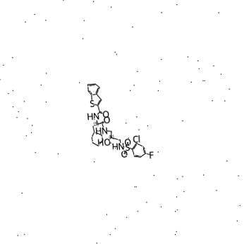 O=C(N[C@@H](CC1CCCCC1)C(=O)NC[C@@H](O)CNS(=O)(=O)c1ccc(F)cc1Cl)c1cc2ccccc2s1